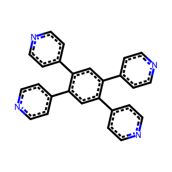 c1cc(-c2cc(-c3ccncc3)c(-c3ccncc3)cc2-c2ccncc2)ccn1